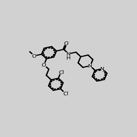 COc1ccc(C(=O)NCC2CCN(c3ccccn3)CC2)cc1OCCc1ccc(Cl)cc1Cl